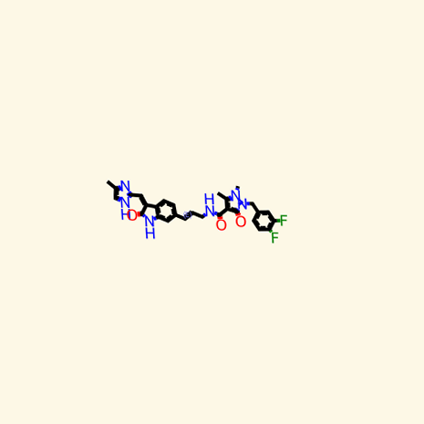 Cc1c[nH]c(C=C2C(=O)Nc3cc(/C=C/CNC(=O)c4c(C)n(C)n(Cc5ccc(F)c(F)c5)c4=O)ccc32)n1